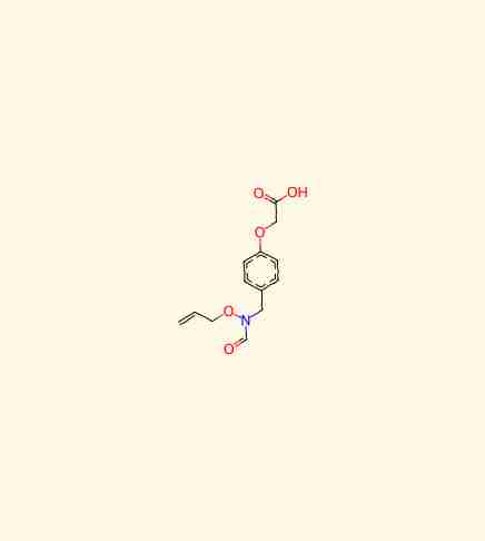 C=CCON(C=O)Cc1ccc(OCC(=O)O)cc1